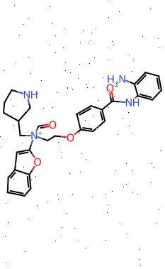 Nc1ccccc1NC(=O)c1ccc(OCC[N+](C=O)(CC2CCCNC2)c2cc3ccccc3o2)cc1